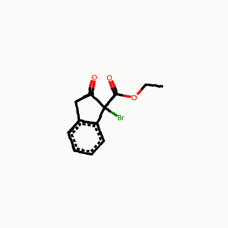 CCOC(=O)C1(Br)C(=O)Cc2ccccc21